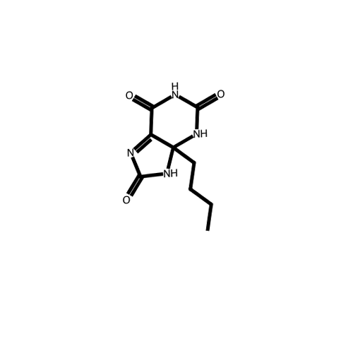 CCCCC12NC(=O)N=C1C(=O)NC(=O)N2